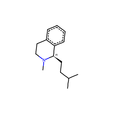 CC(C)CC[C@@H]1c2ccccc2CCN1C